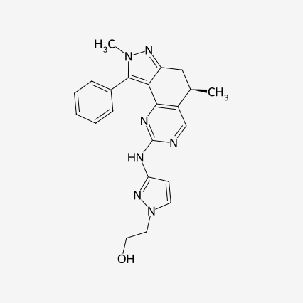 C[C@@H]1Cc2nn(C)c(-c3ccccc3)c2-c2nc(Nc3ccn(CCO)n3)ncc21